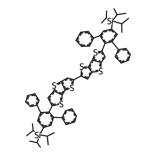 CC(C)[Si](c1cc(-c2ccccc2)c(-c2cc3sc4cc(-c5cc6sc7cc(-c8c(-c9ccccc9)cc([Si](C(C)C)(C(C)C)C(C)C)cc8-c8ccccc8)sc7c6s5)sc4c3s2)c(-c2ccccc2)c1)(C(C)C)C(C)C